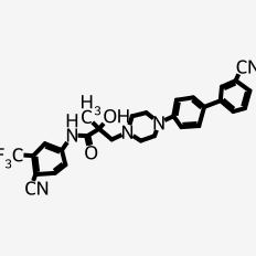 CC(O)(CN1CCN(c2ccc(-c3cccc(C#N)c3)cc2)CC1)C(=O)Nc1ccc(C#N)c(C(F)(F)F)c1